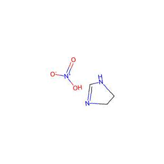 C1=NCCN1.O=[N+]([O-])O